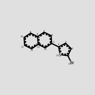 Brc1ccc(-c2ccc3ccccc3c2)s1